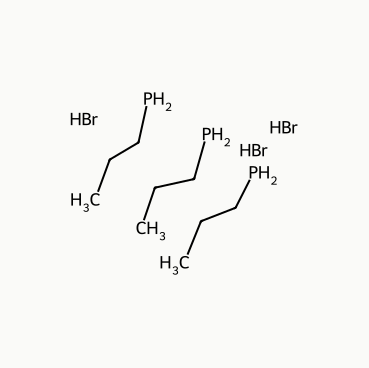 Br.Br.Br.CCCP.CCCP.CCCP